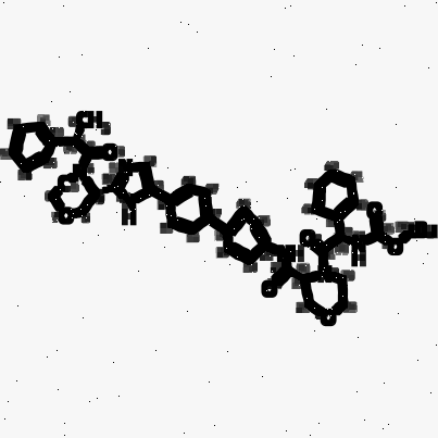 C[C@@H](C(=O)N1CCOC[C@H]1c1ncc(-c2ccc(-c3ccc(NC(=O)[C@@H]4COCCN4C(=O)[C@H](NC(=O)OC(C)(C)C)c4ccccc4)cc3)cc2)[nH]1)c1ccccc1